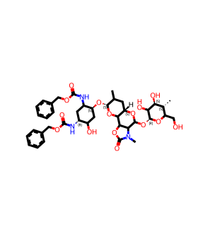 CC1C[C@@H]2OC(O[C@H]3OC(CO)[C@@H](C)[C@H](O)C3O)C3C(OC(=O)N3C)C2O[C@@H]1O[C@H]1CC(O)[C@H](NC(=O)OCc2ccccc2)CC1NC(=O)OCc1ccccc1